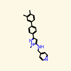 Cc1ccc(-c2ccc(-c3cc(NCc4ccncc4)n(C)n3)cc2)cc1C